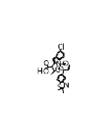 C=CC(c1ccc2sc(C)nc2c1)S(=O)(=O)n1c(C(CC)C(=O)O)cc2cc(Cl)ccc21